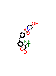 O=c1cc(C(F)(F)F)c2cc(Cc3ccc(S(=O)(=O)N4CCC(O)CC4)cc3)ccc2o1